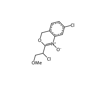 COCC(Cl)C1=[N+]([O-])c2cc(Cl)ccc2CO1